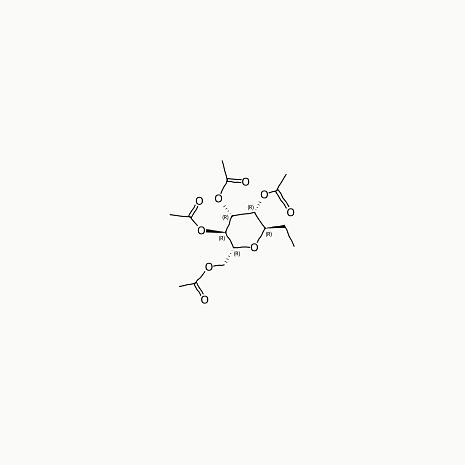 CC[C@H]1O[C@H](COC(C)=O)[C@@H](OC(C)=O)[C@H](OC(C)=O)[C@@H]1OC(C)=O